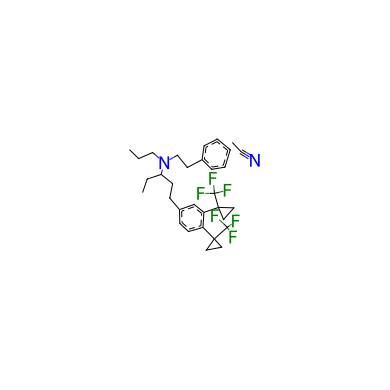 CC#N.CCCN(CCc1ccccc1)C(CC)CCc1ccc(C2(C(F)(F)F)CC2)c(C2(C(F)(F)F)CC2)c1